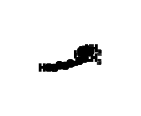 C[C@@H](OCc1ccc(CCCOCCOCCOCCOCCO)cc1)[C@H](CCC(N)=O)NC(=O)OC(C)(C)C